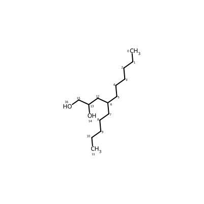 CCCCCCC(CCCCC)CC(O)CO